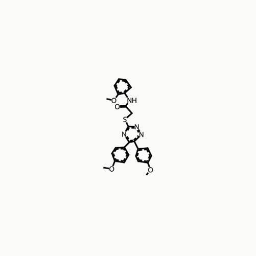 COc1ccc(-c2nnc(SCC(=O)Nc3ccccc3OC)nc2-c2ccc(OC)cc2)cc1